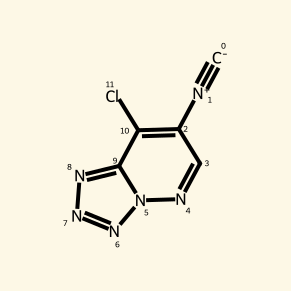 [C-]#[N+]c1cnn2nnnc2c1Cl